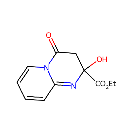 CCOC(=O)C1(O)CC(=O)N2C=CC=CC2=N1